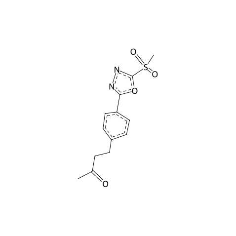 CC(=O)CCc1ccc(-c2nnc(S(C)(=O)=O)o2)cc1